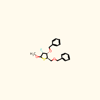 COC1S[C@H](COCc2ccccc2)[C@@H](OCc2ccccc2)[C@H]1F